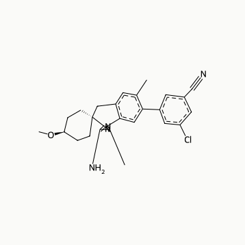 CO[C@H]1CC[C@]2(CC1)Cc1cc(C)c(-c3cc(Cl)cc(C#N)c3)cc1C21N=C(C)C(N)=N1